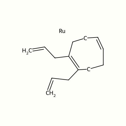 C=CCC1=C(CC=C)CCC=CCC1.[Ru]